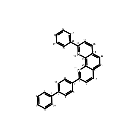 c1ccc(-c2ccc(-c3ccc4ccc5ccc(-c6ccccc6)nc5c4n3)cc2)cc1